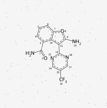 NC(=O)c1cccc2oc(N)c(-c3ncc(C(F)(F)F)cn3)c12